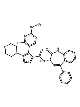 CC(C)Nc1ccc(-c2c(C(=O)N[C@H]3N=C(c4ccccc4)c4ccccc4NC3=O)cnn2C2CCOCC2)c(F)n1